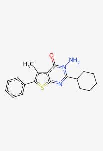 Cc1c(-c2ccccc2)sc2nc(C3CCCCC3)n(N)c(=O)c12